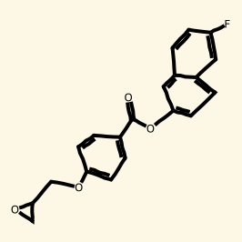 O=C(Oc1ccc2cc(F)ccc2c1)c1ccc(OCC2CO2)cc1